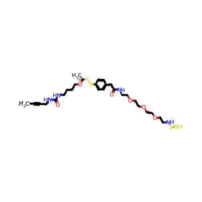 CC#CCNC(=O)NCCCCO[C@H](C)SSc1ccc(CC(=O)NCCOCCOCCOCCNSS)cc1